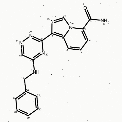 NC(=O)c1cccc2c(-c3nncc(NCc4ccccc4)n3)ncn12